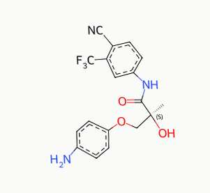 C[C@](O)(COc1ccc(N)cc1)C(=O)Nc1ccc(C#N)c(C(F)(F)F)c1